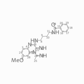 COc1ccc2nc(NCCCCNC(=O)c3ccccc3)c(=N)n(C(C)=N)c2c1